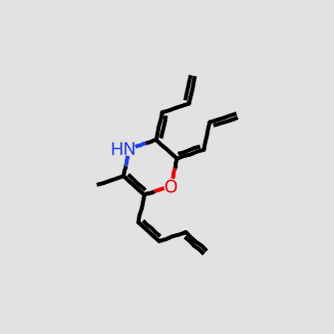 C=C/C=C\C1=C(C)NC(=C/C=C)/C(=C\C=C)O1